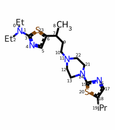 CCN(CC)c1ncc(C(C)CCN2CCN(c3ncc(C(C)C)s3)CC2)s1